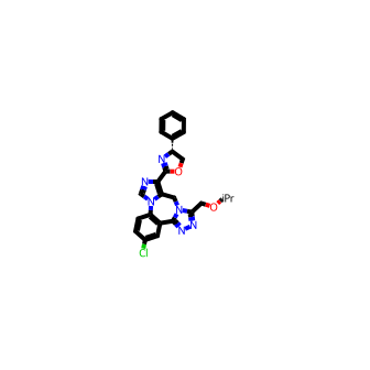 CC(C)OCc1nnc2n1Cc1c(C3=N[C@H](c4ccccc4)CO3)ncn1-c1ccc(Cl)cc1-2